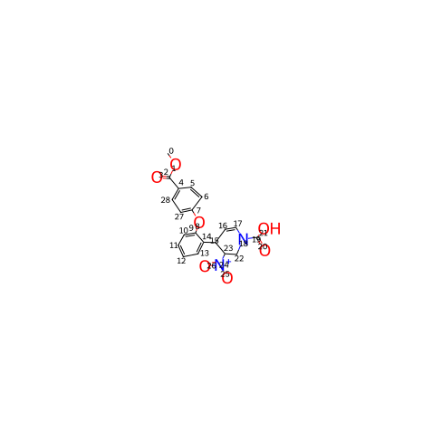 COC(=O)c1ccc(Oc2ccccc2C2C=CN(C(=O)O)CC2[N+](=O)[O-])cc1